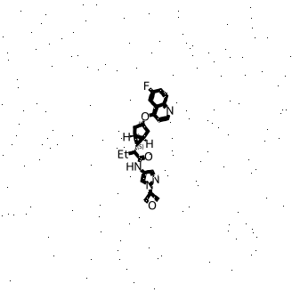 CCC(C(=O)Nc1cnn(C2COC2)c1)[C@@H]1[C@@H]2C[C@@H](Oc3ccnc4ccc(F)cc34)C[C@@H]21